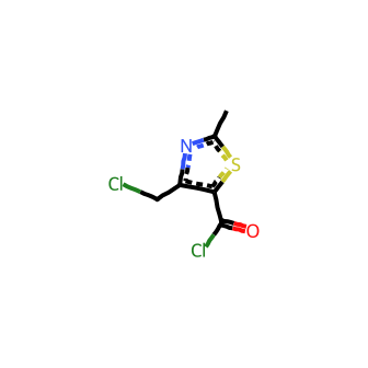 Cc1nc(CCl)c(C(=O)Cl)s1